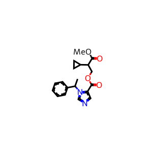 COC(=O)C(COC(=O)c1cncn1C(C)c1ccccc1)C1CC1